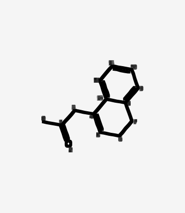 CC(=O)CC1=CCCc2ccccc21